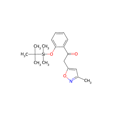 Cc1cc(CC(=O)c2ccccc2O[Si](C)(C)C(C)(C)C)on1